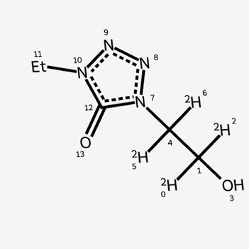 [2H]C([2H])(O)C([2H])([2H])n1nnn(CC)c1=O